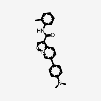 Cc1ccccc1NC(=O)c1cnn2cc(-c3ccc(N(C)C)cc3)ccc12